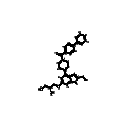 CCc1cc2c(N3CCN(C(=O)c4ccc(-c5cncnc5)cc4)CC3)nc(OC[C@H](O)CO)nc2s1